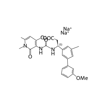 COc1cccc(-c2cc(C)cc([C@H](CC(=O)[O-])NC(=O)Nc3c([O-])cc(C)n(C)c3=O)c2)c1.[Na+].[Na+]